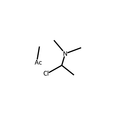 CC(C)=O.CC(Cl)N(C)C